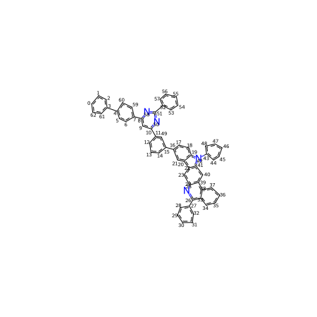 c1ccc(-c2ccc(-c3cc(-c4cccc(-c5ccc6c(c5)c5cc7nc(-c8ccccc8)c8ccccc8c7cc5n6-c5ccccc5)c4)nc(-c4ccccc4)n3)cc2)cc1